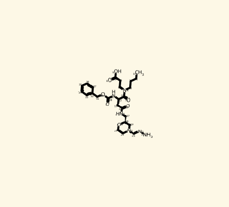 CCCCN(CCC(=O)O)C(=O)C(CC(=O)NC[C@H]1CN(C=NN)CCO1)NC(=O)OCc1ccccc1